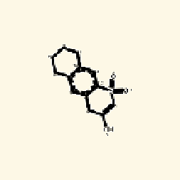 O=S1(=O)C=C(O)Cc2cc3c(cc21)CCCC3